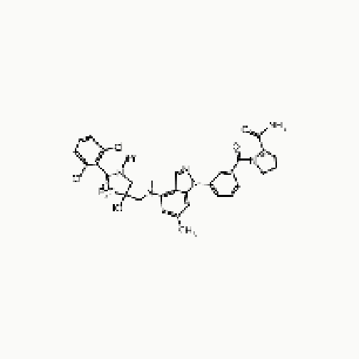 Cc1cc(NCC(O)(CN(C(=O)c2c(Cl)cccc2Cl)C(C)C)C(F)(F)F)c2cnn(-c3cccc(C(=O)N4CCC[C@@H]4C(N)=O)c3)c2c1